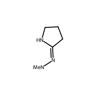 CNN=C1CCCN1